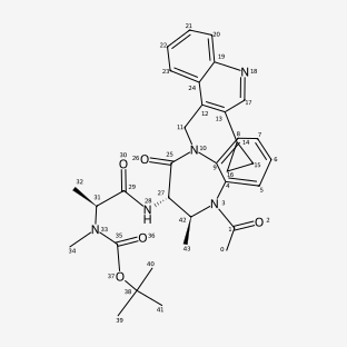 CC(=O)N1c2ccccc2N(Cc2c(C3CC3)cnc3ccccc23)C(=O)[C@@H](NC(=O)[C@H](C)N(C)C(=O)OC(C)(C)C)[C@@H]1C